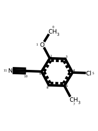 COc1cc(Cl)c(C)cc1C#N